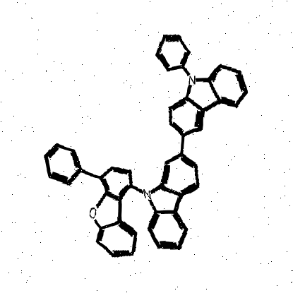 c1ccc(-c2ccc(-n3c4ccccc4c4ccc(-c5ccc6c(c5)c5ccccc5n6-c5ccccc5)cc43)c3c2oc2ccccc23)cc1